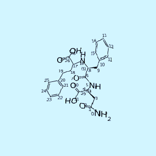 NC(=O)C[C@H](NC(=O)[C@H](Cc1ccccc1)NC(CCc1ccccc1)C(=O)O)C(=O)O